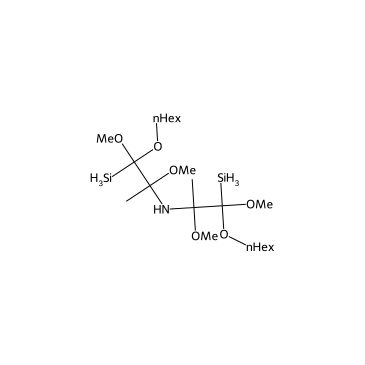 CCCCCCOC([SiH3])(OC)C(C)(NC(C)(OC)C([SiH3])(OC)OCCCCCC)OC